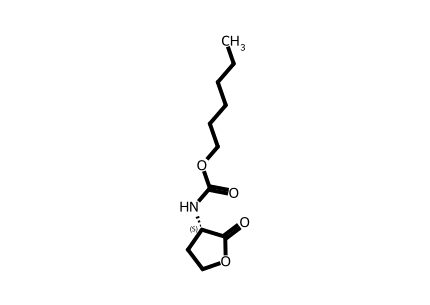 CCCCCCOC(=O)N[C@H]1CCOC1=O